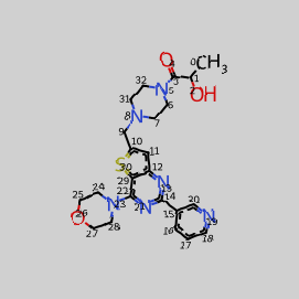 CC(O)C(=O)N1CCN(Cc2cc3nc(-c4cccnc4)nc(N4CCOCC4)c3s2)CC1